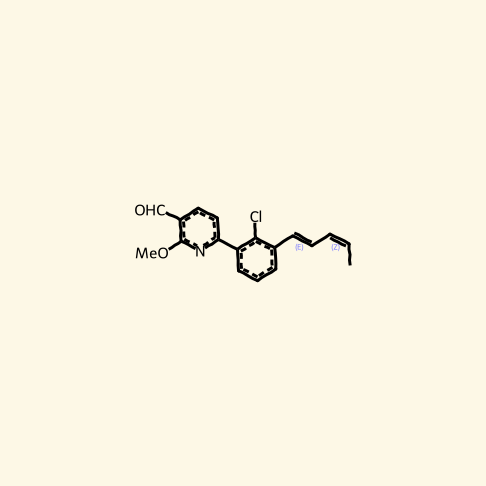 C/C=C\C=C\c1cccc(-c2ccc(C=O)c(OC)n2)c1Cl